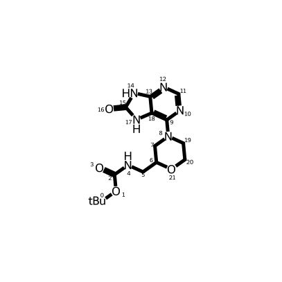 CC(C)(C)OC(=O)NCC1CN(c2ncnc3[nH]c(=O)[nH]c23)CCO1